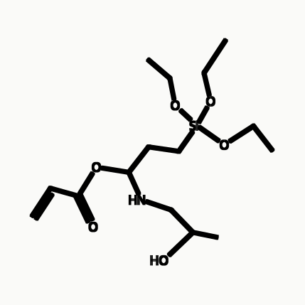 C=CC(=O)OC(CC[Si](OCC)(OCC)OCC)NCC(C)O